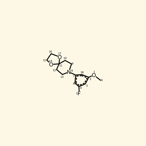 COc1cc(F)cc(N2CCC3(CC2)OCCO3)c1